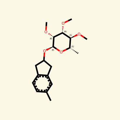 CO[C@@H]1[C@@H](OC)[C@H](C)O[C@@H](OC2Cc3ccc(C)cc3C2)[C@@H]1OC